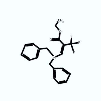 CCOC(=O)/C(=C\N(Cc1ccccc1)Cc1ccccc1)C(F)(F)F